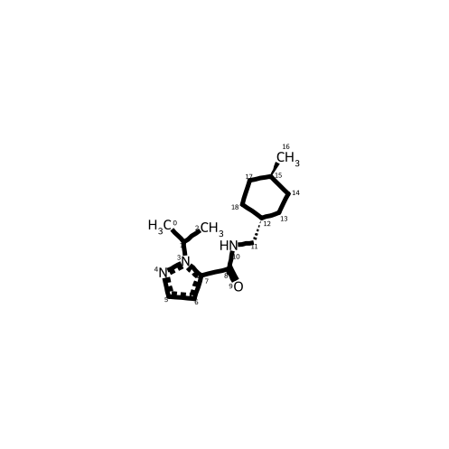 CC(C)n1nccc1C(=O)NC[C@H]1CC[C@H](C)CC1